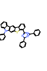 c1ccc(C2N=C(c3cccc4c3sc3cc5c(cc34)c3ccccc3n5-c3ccccc3)N3C(c4ccccc4)N23)cc1